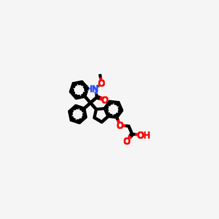 CONC(=O)C(c1ccccc1)(c1ccccc1)C1CCc2c(OCC(=O)O)cccc21